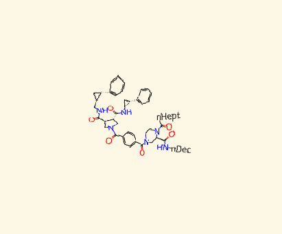 CCCCCCCCCCNC(=O)C1CN(C(=O)c2ccc(C(=O)N3C[C@@H](C(=O)NC[C@H]4C[C@@H]4c4ccccc4)[C@H](C(=O)N[C@H]4C[C@@H]4c4ccccc4)C3)cc2)CCN1C(=O)CCCCCCC